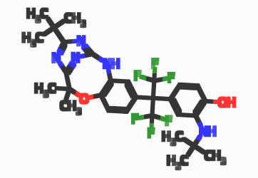 CC(C)(C)Nc1cc(C(c2ccc3c(c2)Nc2nc(C(C)(C)C)nc(n2)C(C)(C)O3)(C(F)(F)F)C(F)(F)F)ccc1O